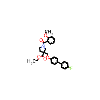 CCOC(=O)C1(COc2ccc(-c3ccc(F)cc3)cc2)CCN(C(=O)c2ccccc2OC)C1